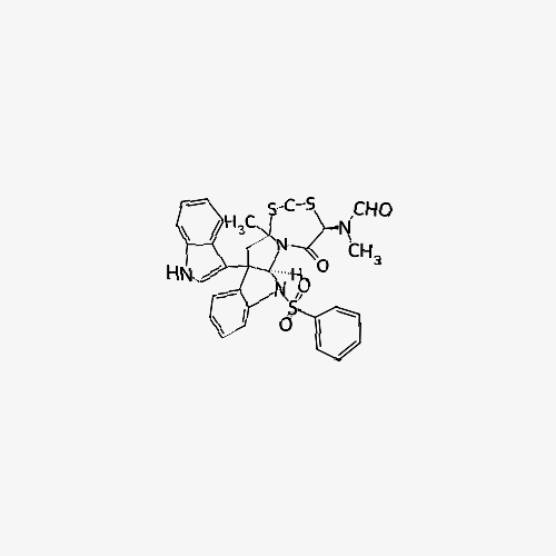 CN(C=O)[C@@H]1SCSC2(C)CC3(c4c[nH]c5ccccc45)c4ccccc4N(S(=O)(=O)c4ccccc4)[C@@H]3N2C1=O